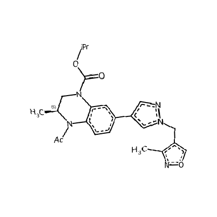 CC(=O)N1c2ccc(-c3cnn(Cc4conc4C)c3)cc2N(C(=O)OC(C)C)C[C@@H]1C